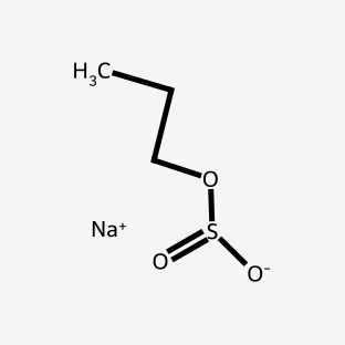 CCCOS(=O)[O-].[Na+]